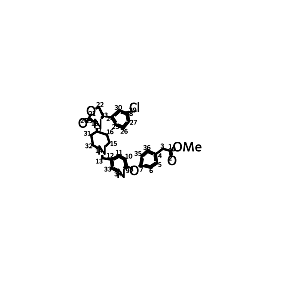 COC(=O)Cc1ccc(Oc2ccc(CN3CCC(N4C(=O)OC[C@H]4c4cccc(Cl)c4)CC3)cn2)cc1